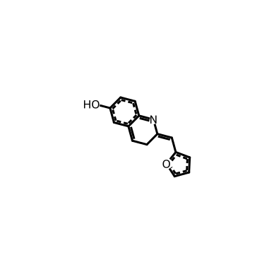 Oc1ccc2c(c1)=CCC(=Cc1ccco1)N=2